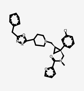 CN(C[C@@]1(c2cccc(Cl)c2)C[C@H]1CN1CCC(c2nnc(Cc3ccccc3)o2)CC1)C(=O)c1ccco1